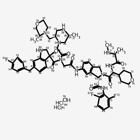 CN[C@@H](C)C(=O)N[C@H](C(=O)N1Cc2ccc(NC(=O)CN(C(=O)CN3C[C@@H](C)NC[C@@H]3CN3CCOC[C@H]3C)C(=O)C3(C)CNc4cc(Cc5ccc(F)cc5)ccc43)cc2[C@H]1C(=O)Nc1c(F)cccc1F)C1CCOCC1.Cl.Cl.Cl